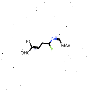 CC/C(C=O)=C\CC(F)/N=C\NC